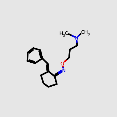 CN(C)CCCO/N=C1/CCCC/C1=C\c1ccccc1